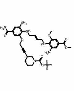 COC(=O)c1cc(N)c(NC/C=C/CNc2c(N)cc(C(N)=O)cc2OCC#CC2CCCN(C(=O)OC(C)(C)C)C2)c(OC)c1